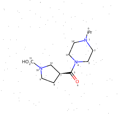 CC(C)N1CCN(C(=O)[C@H]2CCN(C(=O)O)C2)CC1